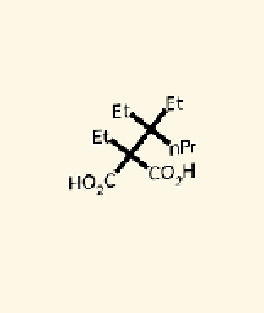 CCCC(CC)(CC)C(CC)(C(=O)O)C(=O)O